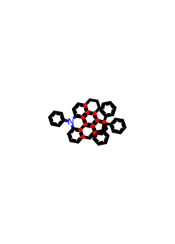 C1=c2cccc(C3CCCCC3)c2=C(c2ccccc2N(c2ccccc2)c2ccccc2-c2cccc3c2-c2ccccc2C3(c2ccccc2)c2ccccc2)CC1